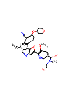 COc1cc(C(O)N(C)CCO)cnc1-c1cc2ncc(C(C)C)c(-c3ccc(OC4CCOCC4)c(C#N)c3)c2o1